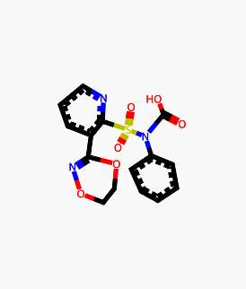 O=C(O)N(c1ccccc1)S(=O)(=O)c1ncccc1C1=NOCCO1